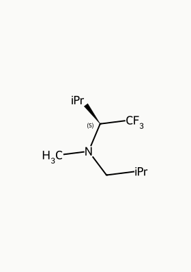 CC(C)CN(C)[C@@H](C(C)C)C(F)(F)F